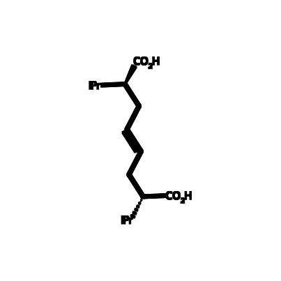 CC(C)[C@H](CC=CC[C@H](C(=O)O)C(C)C)C(=O)O